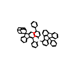 c1ccc(-c2ccc(N(c3ccccc3-c3cccc4c3-c3ccccc3C43C4CC5CC(C4)CC3C5)c3cccc4c3-c3cccc5c3C4(c3ccccc3)c3ccccc3-5)cc2)cc1